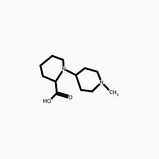 CN1CCC(N2CCCCC2C(=O)O)CC1